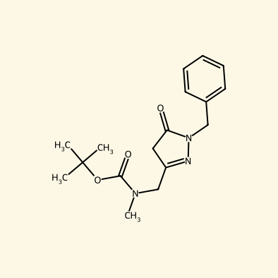 CN(CC1=NN(Cc2ccccc2)C(=O)C1)C(=O)OC(C)(C)C